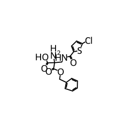 NC(CNC(=O)c1ccc(Cl)s1)(C(=O)O)C(=O)OCc1ccccc1